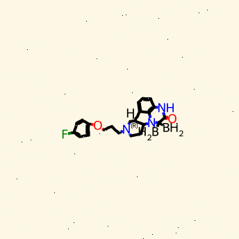 BC1(B)C(=O)Nc2cccc3c2N1C1CCN(CCCOc2ccc(F)cc2)C[C@@H]31